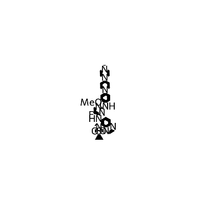 COc1cc(N2CCC(N3CCN(C)CC3)CC2)ccc1Nc1ncc(F)c(Nc2ccc3nccnc3c2N(C)S(=O)(=O)C2CC2)n1